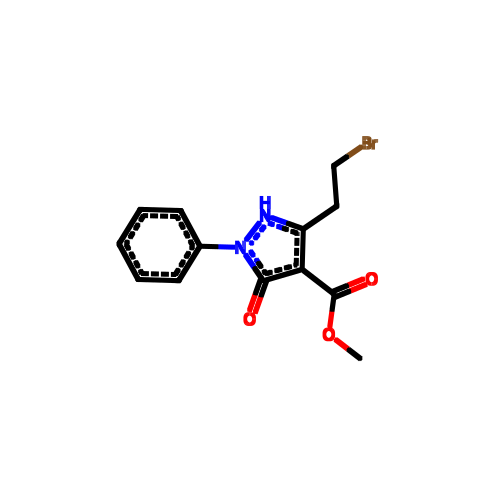 COC(=O)c1c(CCBr)[nH]n(-c2ccccc2)c1=O